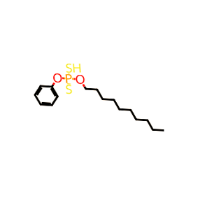 CCCCCCCCCCOP(=S)(S)Oc1ccccc1